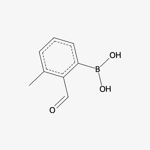 Cc1cccc(B(O)O)c1C=O